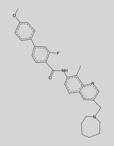 COc1ccc(-c2ccc(C(=O)Nc3ccc4cc(CN5CCCCCC5)cnc4c3C)c(F)c2)cc1